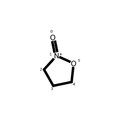 O=[N+]1CCCO1